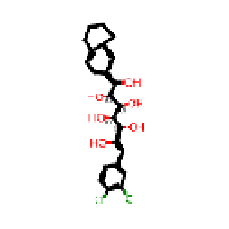 OC(=Cc1ccc(Cl)c(Cl)c1)[C@@H](O)[C@@H](O)[C@H](O)[C@@H](O)C(O)=C1C=C2CCCCC2=CC1